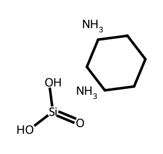 C1CCCCC1.N.N.O=[Si](O)O